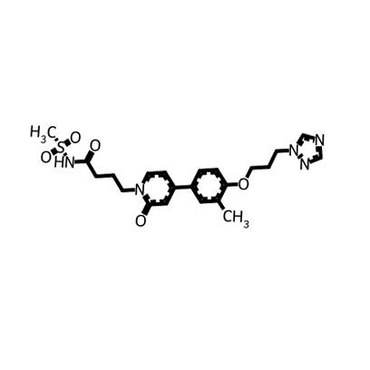 Cc1cc(-c2ccn(CCCC(=O)NS(C)(=O)=O)c(=O)c2)ccc1OCCCn1cncn1